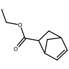 [CH2]COC(=O)C1CC2C=CC1C2